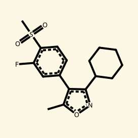 Cc1onc(C2CCCCC2)c1-c1ccc(S(C)(=O)=O)c(F)c1